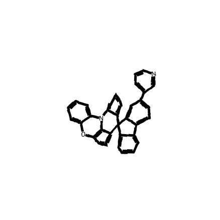 c1cncc(-c2ccc3c(c2)C2(c4ccccc4-3)c3ccccc3N3c4ccccc4Oc4cccc2c43)c1